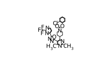 Cc1nc(C)c(-c2nnc(-c3ccnc(C(F)(F)F)n3)o2)c(C2CCN(C(=O)Oc3ccccc3Cl)CC2)n1